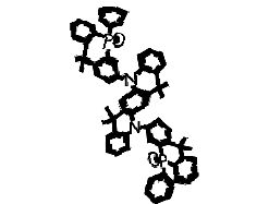 CC1(C)c2ccccc2N(c2ccc3c(c2)P(=O)(c2ccccc2)c2ccccc2C3(C)C)c2cc3c(cc21)N(c1ccc2c(c1)P(=O)(c1ccccc1)c1ccccc1C2(C)C)c1ccccc1C3(C)C